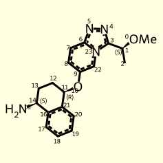 CO[C@@H](C)c1nnc2ccc(O[C@@H]3CC[C@H](N)c4ccccc43)cn12